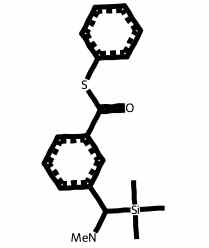 CNC(c1cccc(C(=O)Sc2ccccc2)c1)[Si](C)(C)C